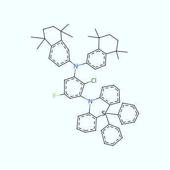 CC1(C)CCC(C)(C)c2cc(N(c3ccc4c(c3)C(C)(C)CCC4(C)C)c3cc(F)cc(N4c5ccccc5[Si](c5ccccc5)(c5ccccc5)c5ccccc54)c3Cl)ccc21